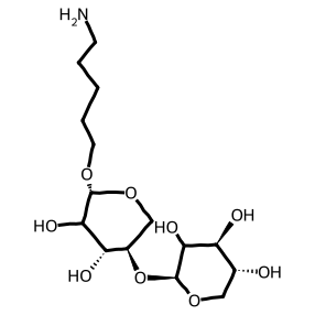 NCCCCCO[C@@H]1OC[C@@H](O[C@@H]2OC[C@@H](O)[C@H](O)C2O)[C@H](O)C1O